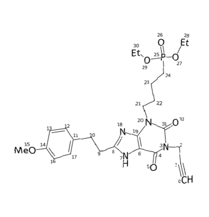 C#CCn1c(=O)c2[nH]c(CCc3ccc(OC)cc3)nc2n(CCCCP(=O)(OCC)OCC)c1=O